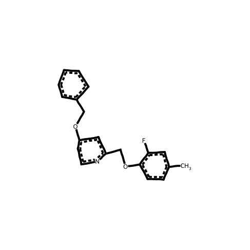 Cc1ccc(OCc2cc(OCc3ccccc3)ccn2)c(F)c1